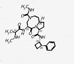 CNC(=O)N1CC[C@H]2CC[C@@H](C(=O)N[C@H]3CC[C@@H]3c3ccccc3)N2C(=O)[C@@H](NC(=O)[C@H](C)NC)C1